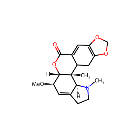 CO[C@@H]1C=C2CCN(C)[C@@H]2[C@@]2(C)C3CC4=C(C=C3C(=O)O[C@@H]12)OCO4